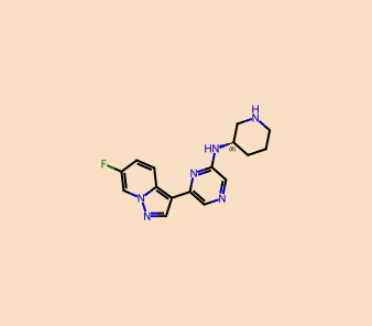 Fc1ccc2c(-c3cncc(N[C@@H]4CCCNC4)n3)cnn2c1